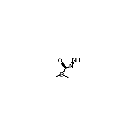 CB(C)C(=O)N=N